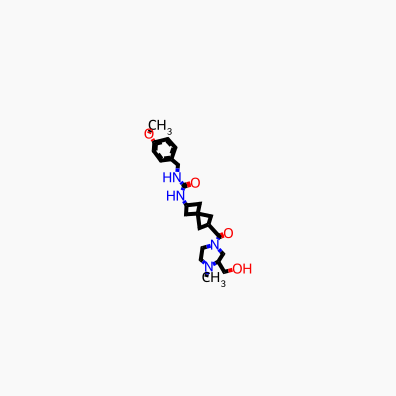 COc1ccc(CNC(=O)NC2CC3(C2)CC(C(=O)N2CCN(C)C(CO)C2)C3)cc1